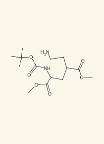 COC(=O)C(CCN)CC(NC(=O)OC(C)(C)C)C(=O)OC